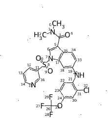 CN(C)C(=O)c1cn(S(=O)(=O)c2cccnc2)c2cc(Nc3ccc(OC(F)(F)F)cc3Cl)ccc12